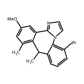 COc1cc(C)c2c(c1)-c1nccn1-c1c(C(C)C)cccc1C2C